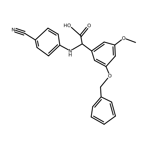 COc1cc(OCc2ccccc2)cc(C(Nc2ccc(C#N)cc2)C(=O)O)c1